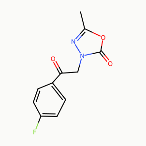 Cc1nn(CC(=O)c2ccc(F)cc2)c(=O)o1